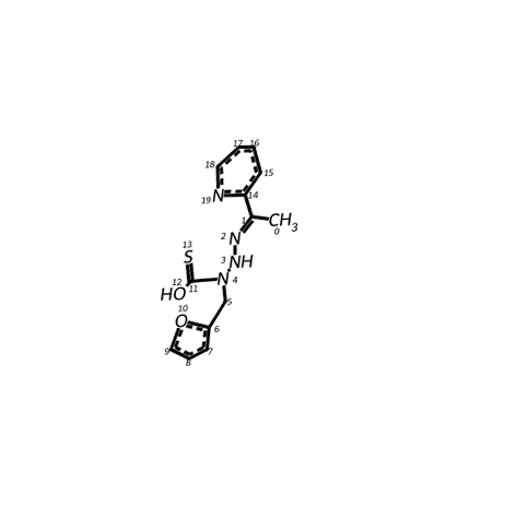 C/C(=N\NN(Cc1ccco1)C(O)=S)c1ccccn1